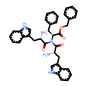 N[C@@H](Cc1c[nH]c2ccccc12)C(=O)N(C(=O)[C@@H](N)Cc1c[nH]c2ccccc12)[C@@H](Cc1ccccc1)C(=O)OCc1ccccc1